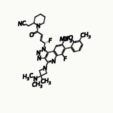 COc1c(C)cccc1-c1c(C(F)(F)F)cc2c(nc(N3CC(C)(N(C)C)C3)c3nnn([C@@H](F)/C=C/C(=O)N4CCCCC4CC#N)c32)c1F